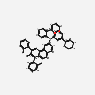 Cc1ccccc1-c1cc2c(ccc3ccc(N(c4cccc(C5=CCCCC5)c4)c4ccccc4-c4ccccc4)cc32)c(-c2ccccc2C)c1C